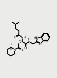 CC(C)CCC(=O)N[C@@H](CC(=O)N1CCCC[C@@H]1C)C(=O)NCc1nc2ccccc2[nH]1